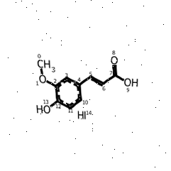 COc1cc(C=CC(=O)O)ccc1O.I